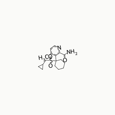 Cc1ccnc(C(N)=O)c1C1(S(=O)(=O)CC2CC2)CCCCC1